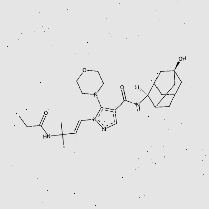 CCC(=O)NC(C)(C)/C=C/n1ncc(C(=O)N[C@H]2C3CC4CC2C[C@@](O)(C4)C3)c1N1CCOCC1